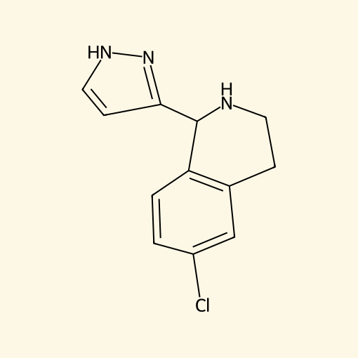 Clc1ccc2c(c1)CCNC2c1cc[nH]n1